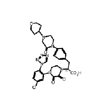 O=C(O)[C@H](Cc1ccc(N2CCN(C3CCOCC3)CC2=O)cc1)N1CCN(c2cc(Cl)ccc2-n2cnnn2)C(=O)C1=O